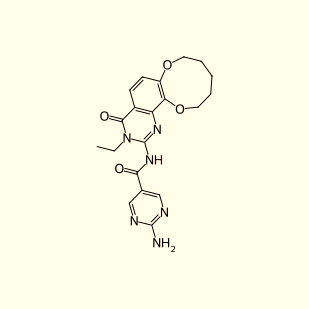 CCn1c(NC(=O)c2cnc(N)nc2)nc2c3c(ccc2c1=O)OCCCCCO3